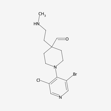 CNCCC1(C=O)CCN(c2c(Cl)cncc2Br)CC1